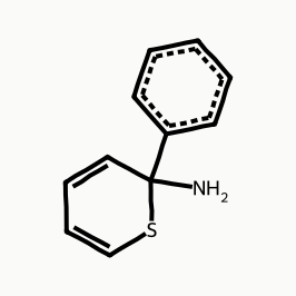 NC1(c2ccccc2)C=CC=CS1